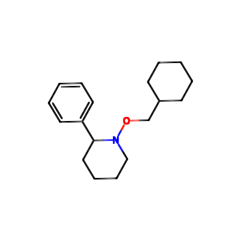 c1ccc(C2CCCCN2OCC2CCCCC2)cc1